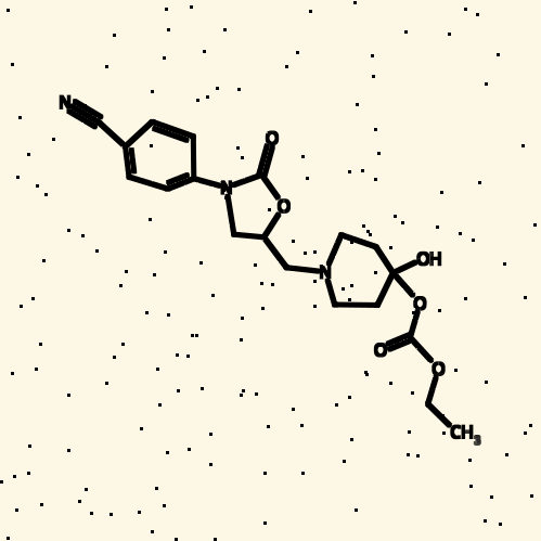 CCOC(=O)OC1(O)CCN(CC2CN(c3ccc(C#N)cc3)C(=O)O2)CC1